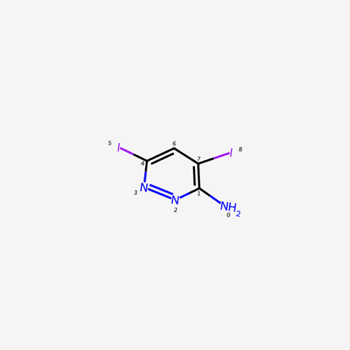 Nc1nnc(I)cc1I